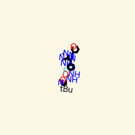 CC(C)(C)c1cc(NC(=O)Nc2ccc(-c3nn(C4CCCOC4)c4ncnc(N)c34)cc2F)on1